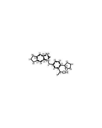 CC(O)c1cc(Cn2cnc3cc4c(cc32)CCC4)ccc1C1CCCO1